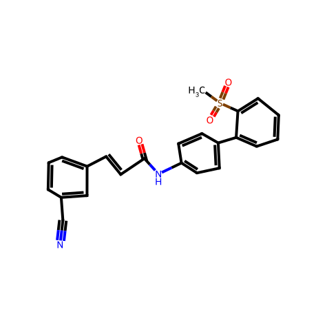 CS(=O)(=O)c1ccccc1-c1ccc(NC(=O)C=Cc2cccc(C#N)c2)cc1